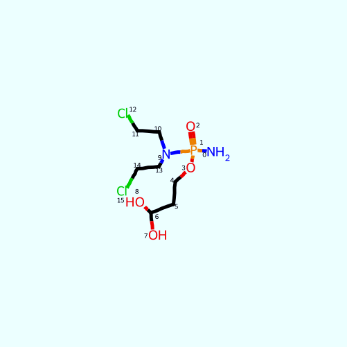 NP(=O)(OCCC(O)O)N(CCCl)CCCl